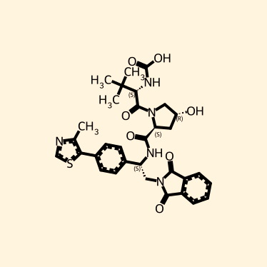 Cc1ncsc1-c1ccc([C@@H](CN2C(=O)c3ccccc3C2=O)NC(=O)[C@@H]2C[C@@H](O)CN2C(=O)[C@@H](NC(=O)O)C(C)(C)C)cc1